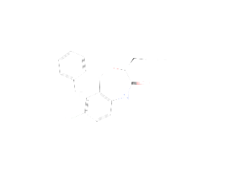 CCOC(=O)C[C@@H]1O[C@@H](c2ccccc2C(F)(F)F)c2cc(Cl)ccc2NC1=O